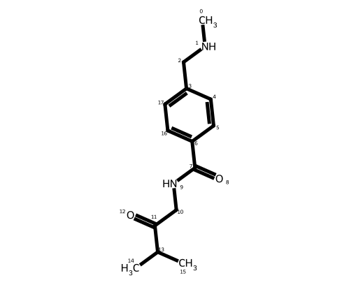 CNCc1ccc(C(=O)NCC(=O)C(C)C)cc1